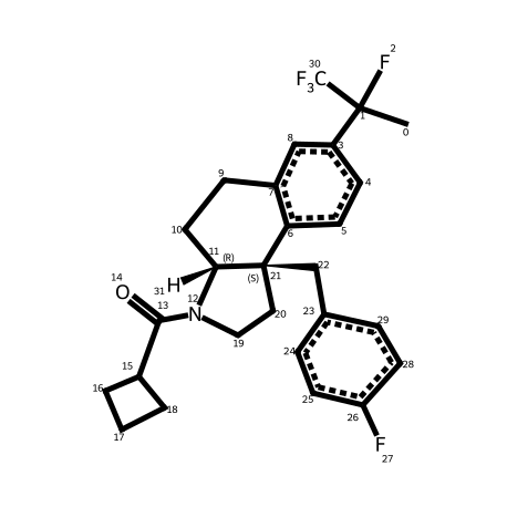 CC(F)(c1ccc2c(c1)CC[C@H]1N(C(=O)C3CCC3)CC[C@@]21Cc1ccc(F)cc1)C(F)(F)F